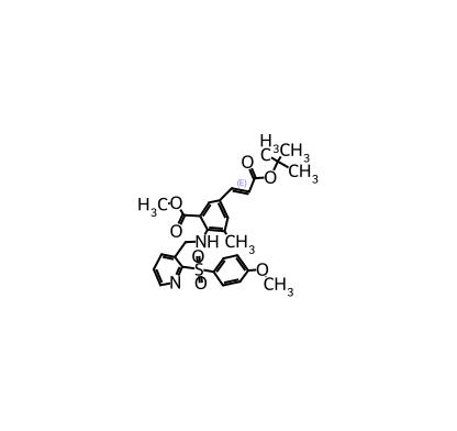 COC(=O)c1cc(/C=C/C(=O)OC(C)(C)C)cc(C)c1NCc1cccnc1S(=O)(=O)c1ccc(OC)cc1